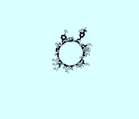 CCC(C)[C@@H]1NC(=O)[C@H](C)N(C)C(=O)C[C@@H](C)N(C)C(=O)[C@H](CC(C)C)NC(=O)C(C)(C)N(C)C(=O)[C@H](CC(C)C)NC(=O)[C@H](CCc2ccc(C(F)(F)F)c(Cl)c2)NC(=O)[C@@H](C)N(C)C(=O)[C@H](Cc2ccc(C)cc2)N(C)C(=O)[C@@H]2CCN2C(=O)CN(C)C1=O